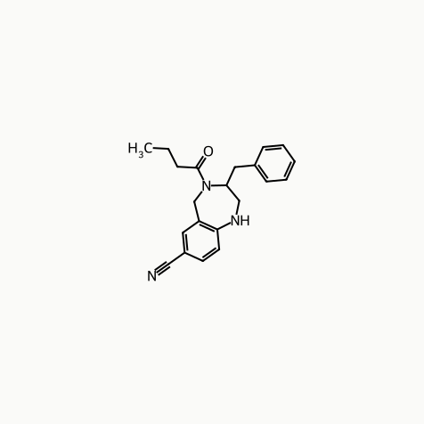 CCCC(=O)N1Cc2cc(C#N)ccc2NCC1Cc1ccccc1